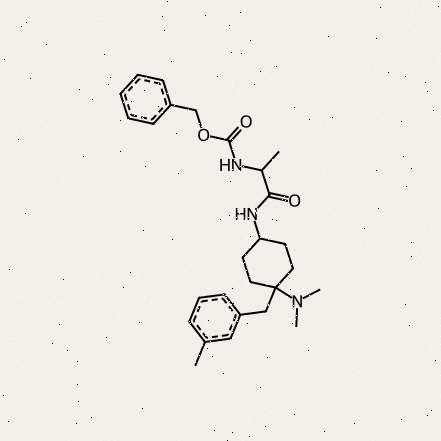 Cc1cccc(CC2(N(C)C)CCC(NC(=O)C(C)NC(=O)OCc3ccccc3)CC2)c1